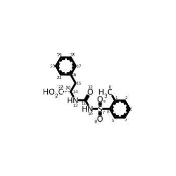 Cc1ccccc1S(=O)(=O)NC(=O)N[C@@H](Cc1ccccc1)C(=O)O